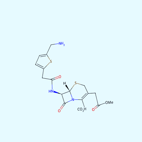 COC(=O)CC1=C(C(=O)O)N2C(=O)[C@@H](NC(=O)Cc3ccc(CN)s3)[C@@H]2SC1